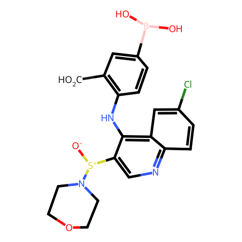 O=C(O)c1cc(B(O)O)ccc1Nc1c([S+]([O-])N2CCOCC2)cnc2ccc(Cl)cc12